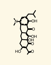 CC(=O)C1=C(O)CC2CC3Cc4c(N(C)C)cc(CC(C)C)c(O)c4C(=O)C3=C(O)C2(O)C1=O